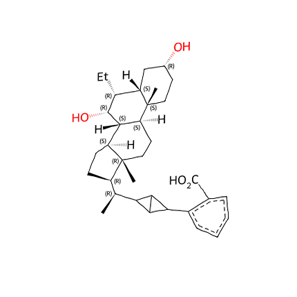 CC[C@H]1[C@@H](O)[C@@H]2[C@H](CC[C@]3(C)[C@@H]([C@H](C)C4C5C(c6ccccc6C(=O)O)C54)CC[C@@H]23)[C@@]2(C)CC[C@@H](O)C[C@@H]12